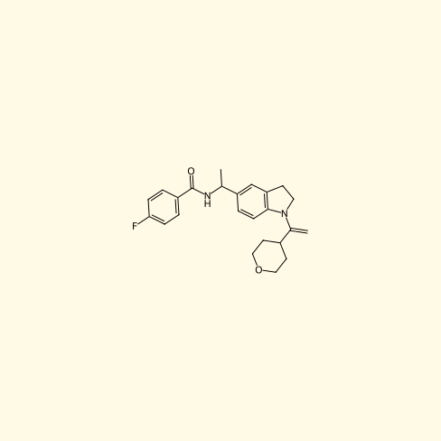 C=C(C1CCOCC1)N1CCc2cc(C(C)NC(=O)c3ccc(F)cc3)ccc21